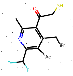 CC(=O)c1c(C(F)F)nc(C)c(C(=O)CS)c1CC(C)C